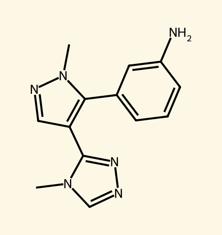 Cn1cnnc1-c1cnn(C)c1-c1cccc(N)c1